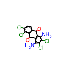 Nc1c(Cl)c(Cl)c(N)c2c1C(=O)c1ccc(Cl)c(Cl)c1C2=O